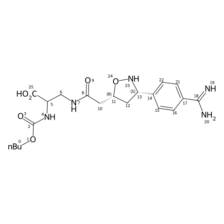 CCCCOC(=O)NC(CNC(=O)C[C@H]1C[C@@H](c2ccc(C(=N)N)cc2)NO1)C(=O)O